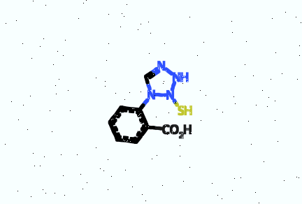 O=C(O)c1ccccc1N1C=NNN1S